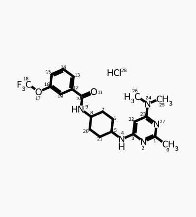 Cc1nc(NC2CCC(NC(=O)c3cccc(OC(F)(F)F)c3)CC2)cc(N(C)C)n1.Cl